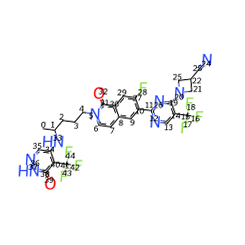 CC(CCCn1ccc2cc(-c3ncc(C(F)(F)F)c(N4CC(C#N)C4)n3)c(F)cc2c1=O)Nc1cn[nH]c(=O)c1C(F)(F)F